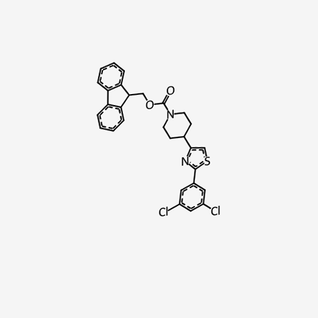 O=C(OCC1c2ccccc2-c2ccccc21)N1CCC(c2csc(-c3cc(Cl)cc(Cl)c3)n2)CC1